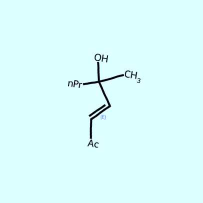 CCCC(C)(O)/C=C/C(C)=O